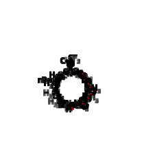 CCCCC[C@H]1C(=O)N(C)CC(=O)N[C@@H](CCc2ccc(C(F)(F)F)c(Cl)c2)C(=O)N2CCC[C@H]2C(=O)NC2(CCCC2)C(=O)N(C)[C@@H](C2CCCCC2)C(=O)N(C)[C@H](C(=O)N2CCCCC2)CC(=O)N(C)[C@@H](CC(C)C)C(=O)N[C@@H]([C@@H](C)CC)C(=O)N(C)CC(=O)N(C)CC(=O)N1C